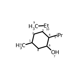 CC1CCC(C(C)C)C(O)C1.CCC